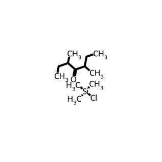 CCC(C)C(=O)C(C)CC.C[Si](C)(C)Cl